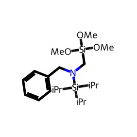 CO[Si](CN(Cc1ccccc1)[Si](C(C)C)(C(C)C)C(C)C)(OC)OC